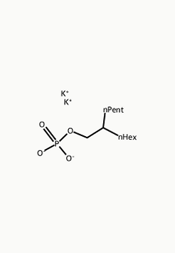 CCCCCCC(CCCCC)COP(=O)([O-])[O-].[K+].[K+]